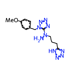 COc1ccc(Cn2nnnc2N(N)CCCc2nnn[nH]2)cc1